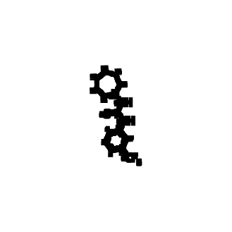 FC(F)(F)c1cccc(NC(=S)NN2CCCCCC2)c1